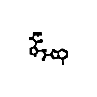 CCOC(=O)NC(=O)c1ccsc1NC(=O)c1cn2c(C)cccc2n1